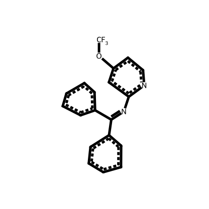 FC(F)(F)Oc1ccnc(N=C(c2ccccc2)c2ccccc2)c1